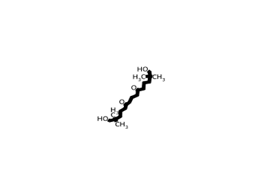 CC(C)(CO)CCCC(=O)CCCC(=O)CCCC(C)(C)CO